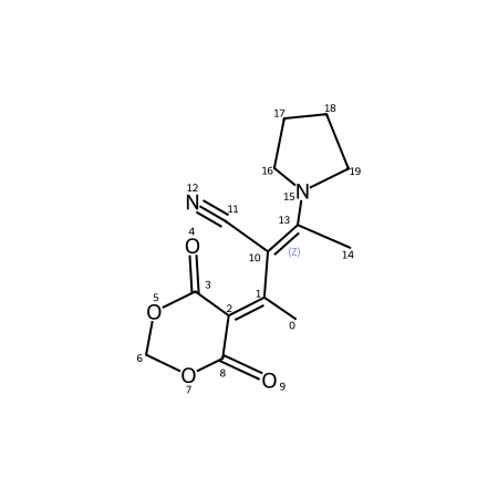 CC(=C1C(=O)OCOC1=O)/C(C#N)=C(\C)N1CCCC1